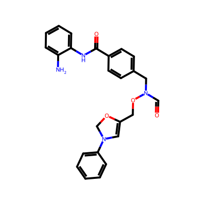 Nc1ccccc1NC(=O)c1ccc(CN(C=O)OCC2=CN(c3ccccc3)CO2)cc1